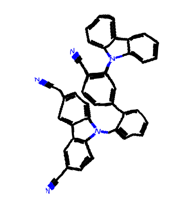 N#Cc1ccc2c(c1)c1cc(C#N)ccc1n2-c1ccccc1-c1ccc(C#N)c(-n2c3ccccc3c3ccccc32)c1